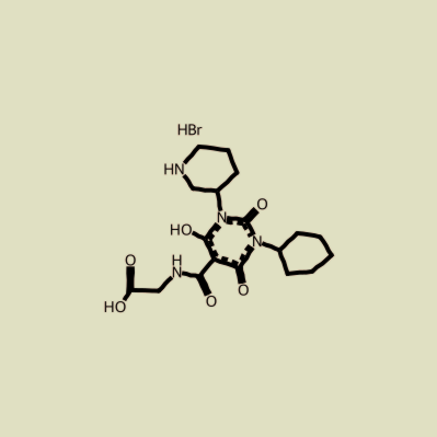 Br.O=C(O)CNC(=O)c1c(O)n(C2CCCNC2)c(=O)n(C2CCCCC2)c1=O